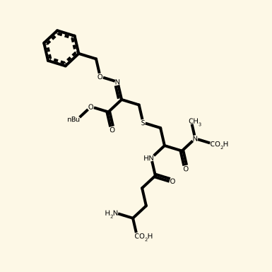 CCCCOC(=O)C(CSCC(NC(=O)CCC(N)C(=O)O)C(=O)N(C)C(=O)O)=NOCc1ccccc1